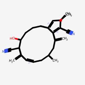 C=C1CC(C)C/C=C\C(=C)C(C#N)C(O)CCCC(=C/CC)/C1=C(/C#N)CC